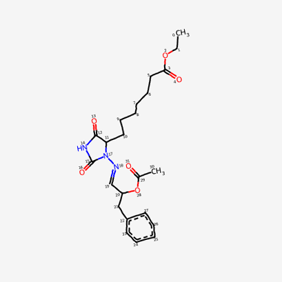 CCOC(=O)CCCCCCC1C(=O)NC(=O)N1/N=C/C(Cc1ccccc1)OC(C)=O